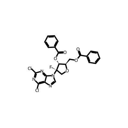 O=C(OC[C@H]1OC[C@@](F)(n2cnc3c(Cl)nc(Cl)nc32)[C@@H]1OC(=O)c1ccccc1)c1ccccc1